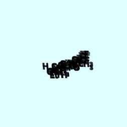 CCC(=O)NCC(C)(C)CNC(=O)NC1=CC=C2C(CC[C@]23CN(CC(=O)N(Cc2ccc(F)cc2)[C@@H](C)C(F)(F)F)C(=O)O3)C1=O